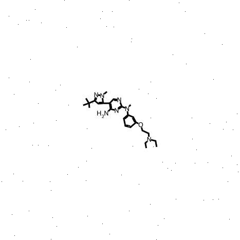 CCN(CC)CCOc1cccc(N(C)c2ncc(-c3cc(C(C)(C)C)nn3C)c(N)n2)c1